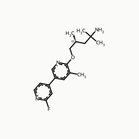 Cc1cc(-c2ccnc(F)c2)cnc1OC[C@@H](C)CC(C)(C)N